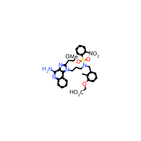 COCCc1nc2c(N)nc3ccccc3c2n1CCCN(Cc1cccc(OCC(=O)O)c1C)S(=O)(=O)c1ccccc1[N+](=O)[O-]